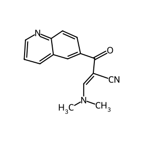 CN(C)C=C(C#N)C(=O)c1ccc2ncccc2c1